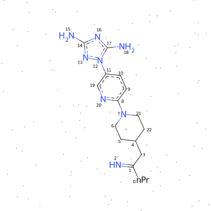 CCCC(=N)CC1CCN(c2ccc(-n3nc(N)nc3N)cn2)CC1